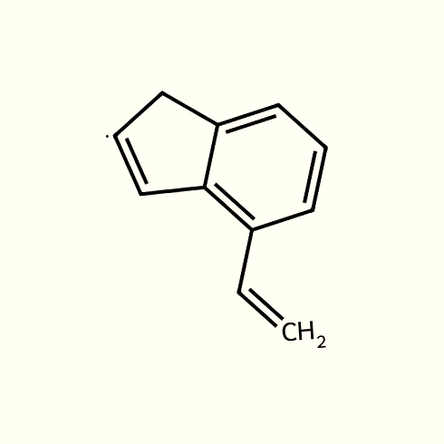 C=Cc1cccc2c1C=[C]C2